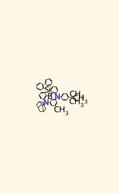 Cc1cc2c3c(c1)N(C14CC5CC(CC(C5)C1)C4)c1cccc4c1B3c1c(cccc1[Si]4(c1ccccc1)c1ccccc1)N2c1ccc(C(C)(C)C)cc1